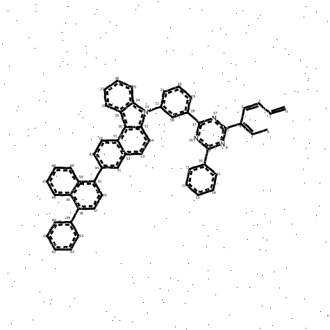 C=C/C=C\C(=C/C)c1nc(-c2ccccc2)nc(-c2cccc(-n3c4ccccc4c4c5ccc(-c6ccc(-c7ccccc7)c7ccccc67)cc5ccc43)c2)n1